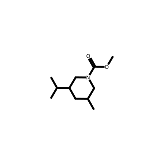 COC(=O)N1CC(C)CC(C(C)C)C1